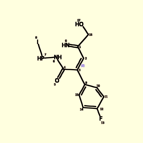 N=C(/C=C(\C(=O)NPI)c1ccc(F)cc1)CO